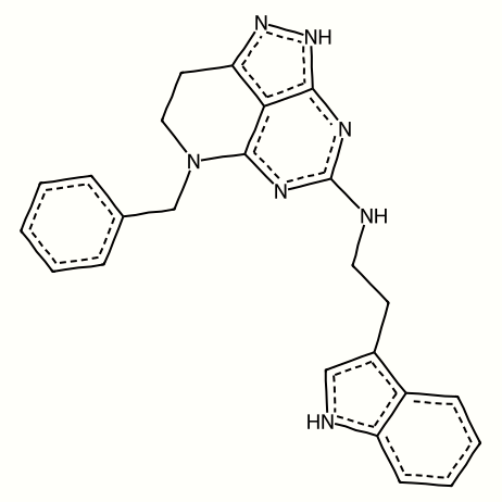 c1ccc(CN2CCc3n[nH]c4nc(NCCc5c[nH]c6ccccc56)nc2c34)cc1